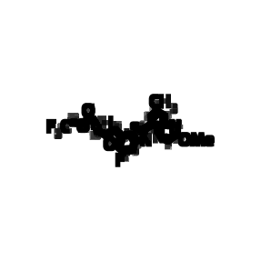 COc1cnc2c(-c3nc4cc(F)c5c(c4s3)CC(CNC(=O)OCC(F)(F)F)O5)cc(C)cc2n1